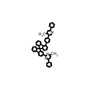 Cc1cc(-c2ccccc2)nc(-c2ccc3c(c2)C2(c4ccccc4-3)c3ccccc3-c3c(-c4ccc(-c5cnc(-c6ccccc6)cc5C)cc4)cccc32)n1